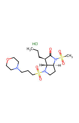 CCC[C@H]1C(=O)N(S(C)(=O)=O)[C@H]2CCN(S(=O)(=O)CCCN3CCOCC3)[C@H]12.Cl